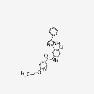 CCCOc1ccc(C(=O)Nc2ccc(Cl)c(-c3ncc(-c4ccccc4)[nH]3)c2)cn1